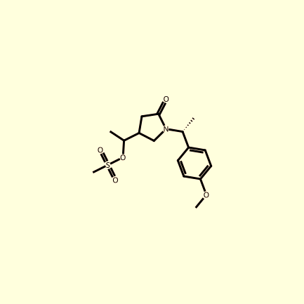 COc1ccc([C@@H](C)N2CC(C(C)OS(C)(=O)=O)CC2=O)cc1